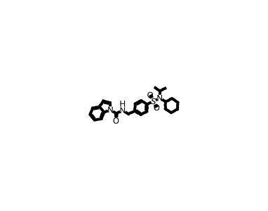 CC(C)N(C1CCCCC1)S(=O)(=O)c1ccc(CNC(=O)n2ccc3ccccc32)cc1